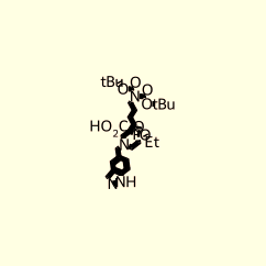 CCOP1(=O)CCN(Cc2ccc3[nH]ncc3c2)CC1(CCCCN(C(=O)OC(C)(C)C)C(=O)OC(C)(C)C)C(=O)O